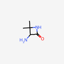 CC1(C)NC(=O)C1N